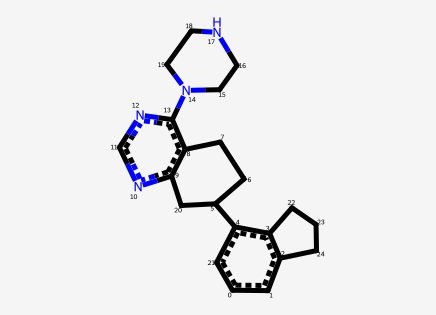 c1cc2c(c(C3CCc4c(ncnc4N4CCNCC4)C3)c1)CCC2